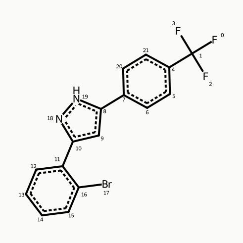 FC(F)(F)c1ccc(-c2cc(-c3ccccc3Br)n[nH]2)cc1